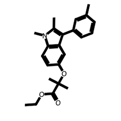 CCOC(=O)C(C)(C)Oc1ccc2c(c1)c(-c1cccc(C)c1)c(C)n2C